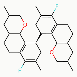 CC1=C(F)C2=C(C3OCC(C)CC3CC2)C([C@H]2CC(C)=C(F)C3=C2C2OCC(C)CC2CC3)C1